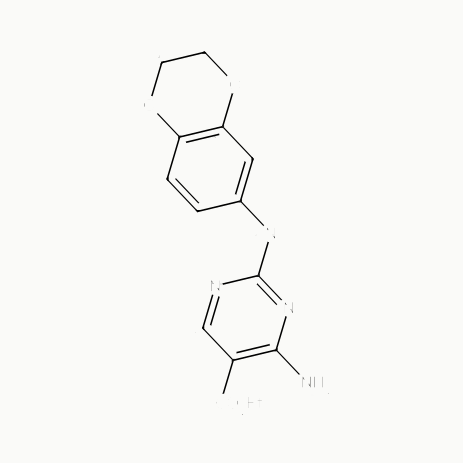 CCOC(=O)c1cnc(Nc2ccc3c(c2)OCCO3)nc1N